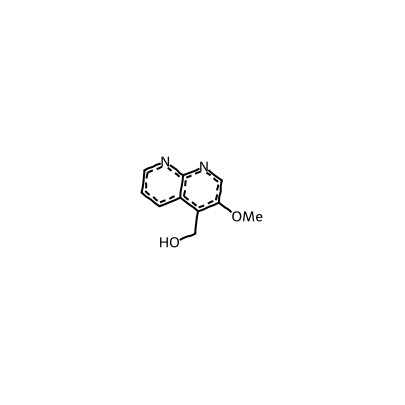 COc1cnc2ncccc2c1CO